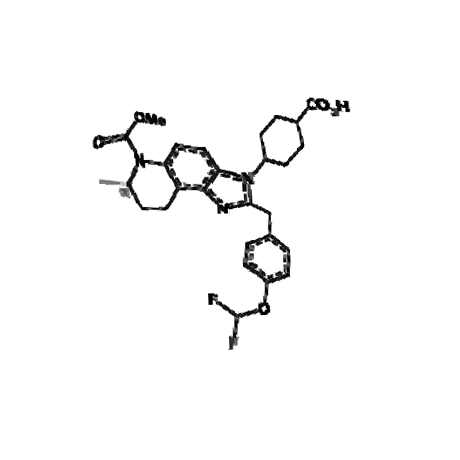 COC(=O)N1c2ccc3c(nc(Cc4ccc(OC(F)F)cc4)n3C3CCC(C(=O)O)CC3)c2CC[C@@H]1C